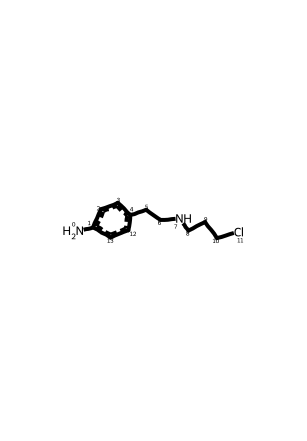 Nc1ccc(CCNCCCCl)cc1